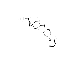 CN1CC2(CC(C(=O)O)C1C(=O)N1CCN(c3ncccc3C(F)(F)F)CC1)CC2C(N)=O